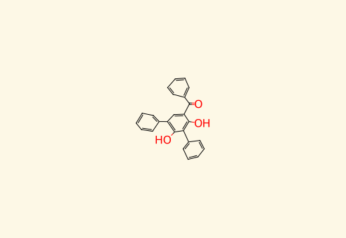 O=C(c1ccccc1)c1cc(-c2ccccc2)c(O)c(-c2ccccc2)c1O